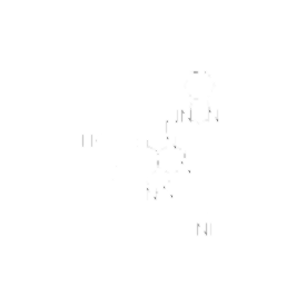 Cc1cc2nc(Cc3nc4c(c(C5CC5)nn4C4CC(C)NC(C)C4)c(=O)[nH]3)[nH]c2cc1C.Cl